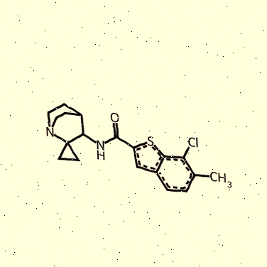 Cc1ccc2cc(C(=O)NC3C4CCN(CC4)C34CC4)sc2c1Cl